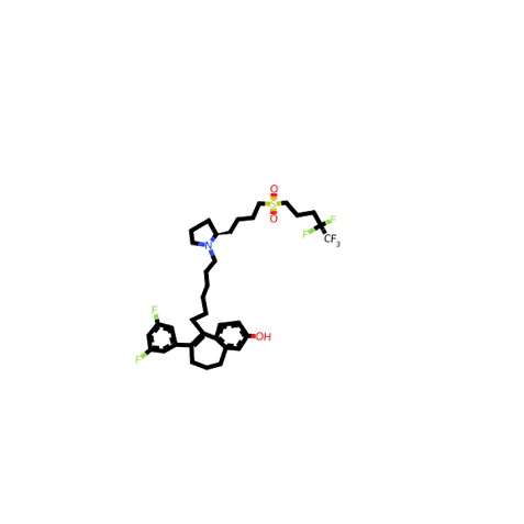 O=S(=O)(CCCC[C@@H]1CCCN1CCCCCCC1=C(c2cc(F)cc(F)c2)CCCc2cc(O)ccc21)CCCC(F)(F)C(F)(F)F